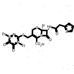 CCn1nc(SCC2=C(C(=O)O)N3C(=O)[C@@H](NC(=O)Cc4cccs4)[C@@H]3SC2)n(CC)c(=O)c1=O